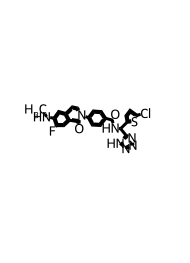 CNc1cc2ccn(-c3ccc(C(=O)NC(c4nnn[nH]4)c4ccc(Cl)s4)cc3)c(=O)c2cc1F